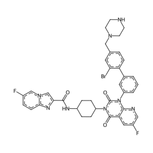 O=C(NC1CCC(n2c(=O)c3cc(F)cnc3n(-c3cccc(-c4ccc(CN5CCNCC5)cc4Br)c3)c2=O)CC1)c1cn2cc(F)ccc2n1